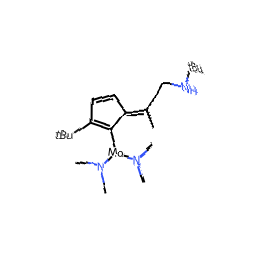 CC(CNC(C)(C)C)=C1C=CC(C(C)(C)C)=[C]1[Mo]([N](C)C)[N](C)C